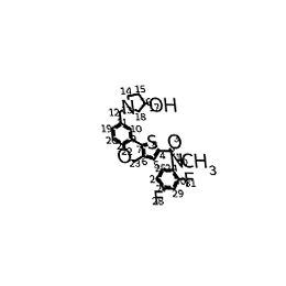 CN(C(=O)c1cc2c(s1)-c1cc(CN3CCC(O)C3)ccc1OC2)c1ccc(F)cc1F